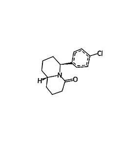 O=C1CCC[C@@H]2CCC[C@@H](c3ccc(Cl)cc3)N12